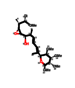 CC[C@H](OC)[C@@H](C)[C@H]1O[C@@H]1[C@H](O)[C@@H](C)/C=C/C=C(\C)[C@@H]1O[C@H](OC)[C@@H](OC)[C@@H](OC)[C@@H]1OC